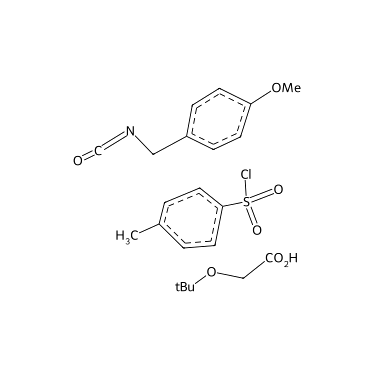 CC(C)(C)OCC(=O)O.COc1ccc(CN=C=O)cc1.Cc1ccc(S(=O)(=O)Cl)cc1